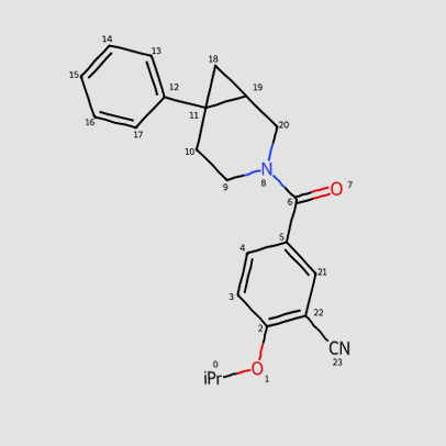 CC(C)Oc1ccc(C(=O)N2CCC3(c4ccccc4)CC3C2)cc1C#N